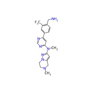 CN1CCn2nc(N(C)c3cc(-c4ccc(CN)c(C(F)(F)F)c4)ncn3)cc2C1